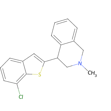 CN1Cc2ccccc2C(c2cc3cccc(Cl)c3s2)C1